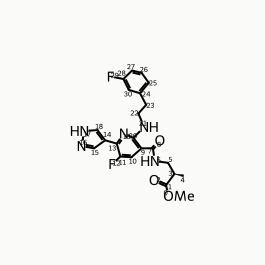 COC(=O)[C@H](C)CNC(=O)c1cc(F)c(-c2cn[nH]c2)nc1NCCc1cccc(F)c1